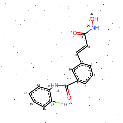 O=C(C=Cc1cccc(C(=O)Nc2ccccc2F)c1)NO